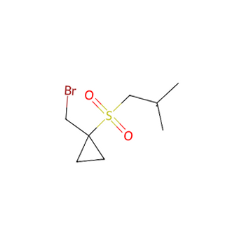 C[C](C)CS(=O)(=O)C1(CBr)CC1